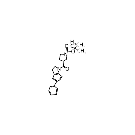 CC(C)(C)OC(=O)N1CC[C@H](C(=O)N2CCc3cc(-c4ccccc4)ccc32)C1